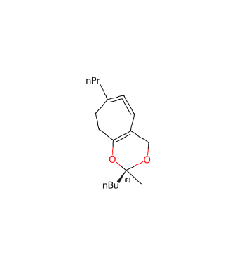 CCCC[C@]1(C)OCC2=C(CCC(CCC)=C=C2)O1